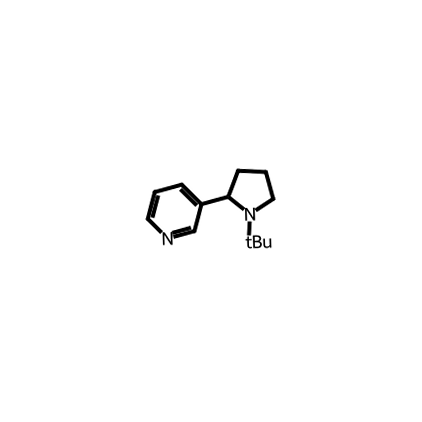 CC(C)(C)N1CCCC1c1cccnc1